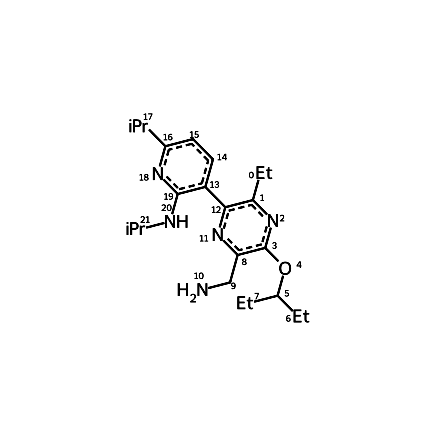 CCc1nc(OC(CC)CC)c(CN)nc1-c1ccc(C(C)C)nc1NC(C)C